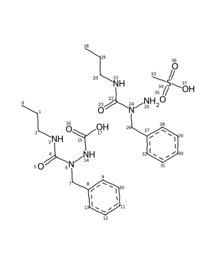 CCCNC(=O)N(Cc1ccccc1)NC(=O)O.CCCNC(=O)N(N)Cc1ccccc1.CS(=O)(=O)O